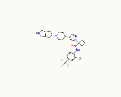 O=C(Nc1ccc(C(F)(F)F)cc1Cl)C1(n2cc(C3CCN(C4CC5CNCC5C4)CC3)cn2)CCC1